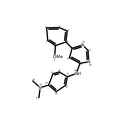 COc1ccccc1-c1cc(Nc2ccc(N(C)C)cc2)ncn1